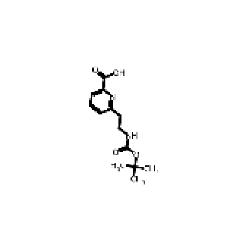 CC(C)(C)OC(=O)NCCc1cccc(C(=O)O)n1